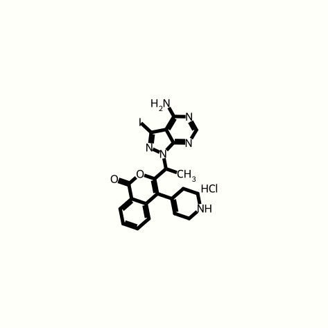 CC(c1oc(=O)c2ccccc2c1C1=CCNCC1)n1nc(I)c2c(N)ncnc21.Cl